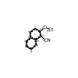 CCOc1ccc2ccccc2c1C#N